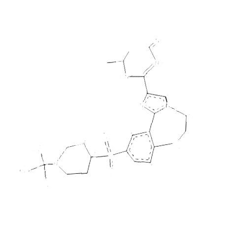 CC(C)N/C(=N\C=N)c1cn2c(n1)-c1cc(S(=O)(=O)C3CCN(C(C)(C)C)CC3)ccc1OCC2